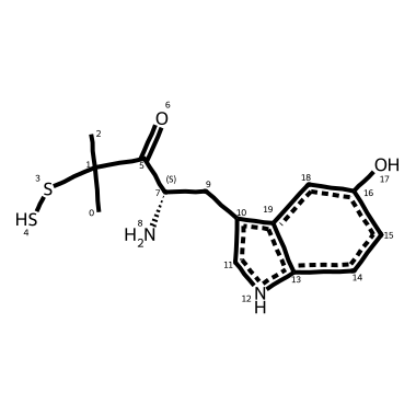 CC(C)(SS)C(=O)[C@@H](N)Cc1c[nH]c2ccc(O)cc12